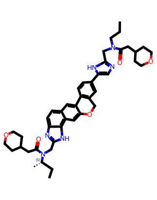 CCCN(Cc1ncc(-c2ccc3c(c2)COc2cc4c(ccc5nc(CN(C(=O)CC6CCOCC6)[C@@H](C)CC)[nH]c54)cc2-3)[nH]1)C(=O)CC1CCOCC1